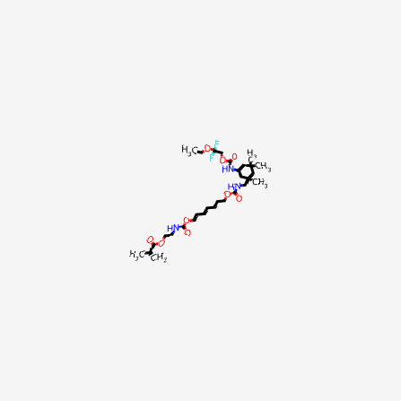 C=C(C)C(=O)OCCNC(=O)OCCCCCCCOC(=O)NCC1(C)CC(NC(=O)OCC(F)(F)OCC)CC(C)(C)C1